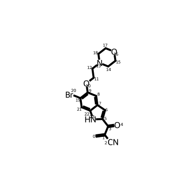 C=C(C#N)C(=O)c1cc2cc(OCCN3CCOCC3)c(Br)cc2[nH]1